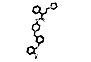 COc1ccccc1Oc1cccc(CN2CCC(NC(=O)C(CCN3CCCC3)c3ccccc3)CC2)c1